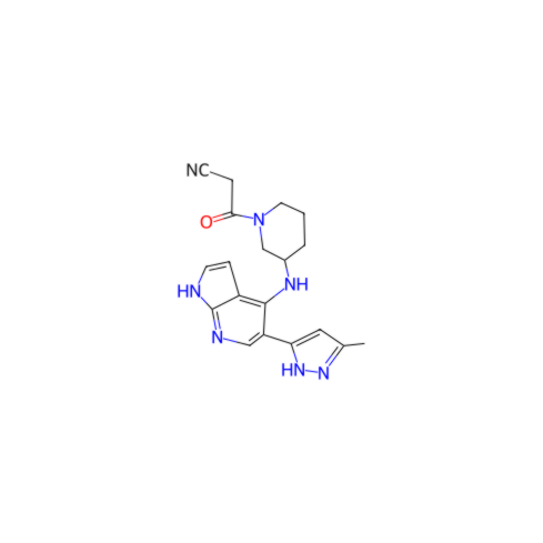 Cc1cc(-c2cnc3[nH]ccc3c2NC2CCCN(C(=O)CC#N)C2)[nH]n1